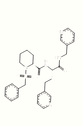 O=C(NCc1cccnc1)[C@H](CCc1cccnc1)NC(=O)[C@@H]1CCCCN1S(=O)(=O)Cc1ccccc1